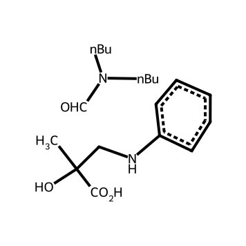 CC(O)(CNc1ccccc1)C(=O)O.CCCCN(C=O)CCCC